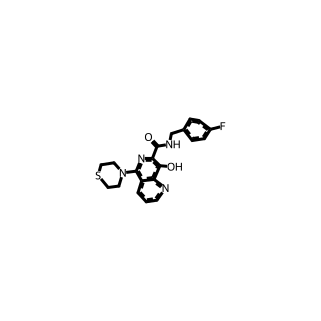 O=C(NCc1ccc(F)cc1)c1nc(N2CCSCC2)c2cccnc2c1O